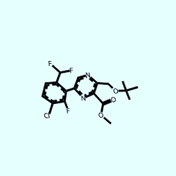 COC(=O)c1nc(-c2c(C(F)F)ccc(Cl)c2F)cnc1COC(C)(C)C